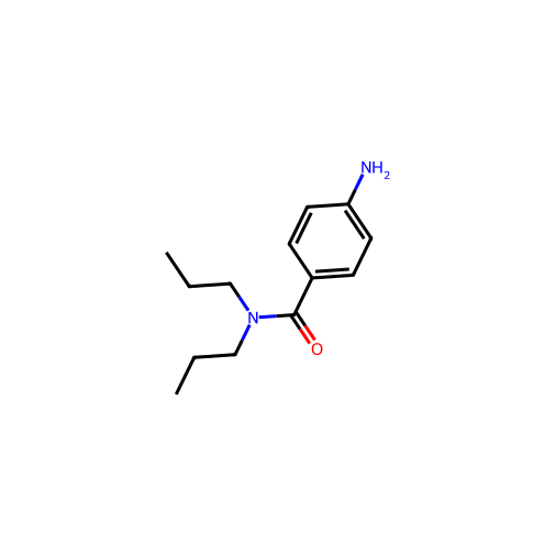 CCCN(CCC)C(=O)c1ccc(N)cc1